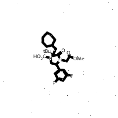 COC(=O)CN1C(=O)[C@](CC2CCCCCC2)(C(C)(C)C)N(C(=O)O)CC1c1cc(F)cc(F)c1